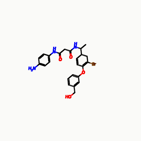 CC(NC(=O)CC(=O)Nc1ccc(N)cc1)C1C=CC(Oc2cccc(CO)c2)=C(Br)C1